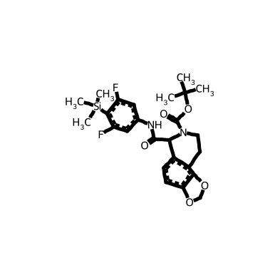 CC(C)(C)OC(=O)N1CCc2c(ccc3c2OCO3)C1C(=O)Nc1cc(F)c([Si](C)(C)C)c(F)c1